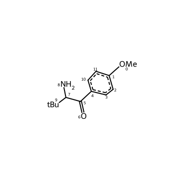 COc1ccc(C(=O)C(N)C(C)(C)C)cc1